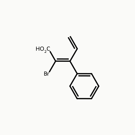 C=CC(=C(Br)C(=O)O)c1ccccc1